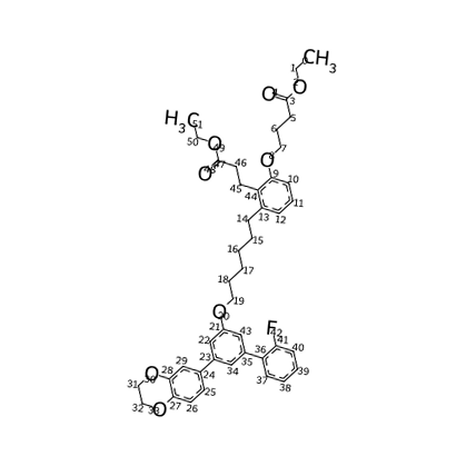 CCOC(=O)CCCOc1cccc(CCCCCCOc2cc(-c3ccc4c(c3)OCCO4)cc(-c3ccccc3F)c2)c1CCC(=O)OCC